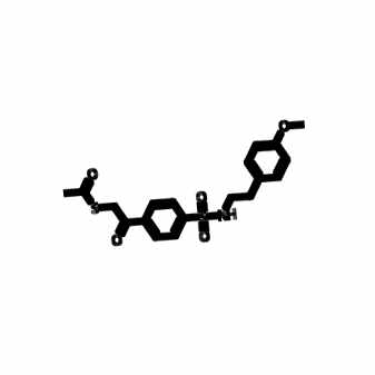 COc1ccc(CCNS(=O)(=O)c2ccc(C(=O)CSC(C)=O)cc2)cc1